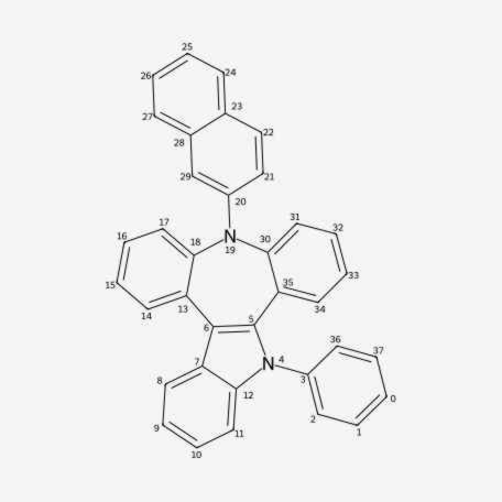 c1ccc(-n2c3c(c4ccccc42)-c2ccccc2N(c2ccc4ccccc4c2)c2ccccc2-3)cc1